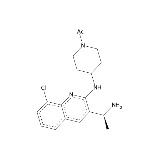 CC(=O)N1CCC(Nc2nc3c(Cl)cccc3cc2[C@H](C)N)CC1